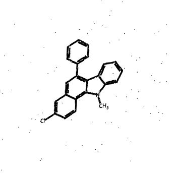 Cn1c2ccccc2c2c(-c3ccccc3)cc3cc(Cl)ccc3c21